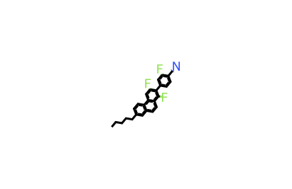 CCCCCc1ccc2c(ccc3c(F)c(-c4ccc(C#N)c(F)c4)c(F)cc32)c1